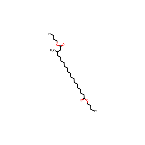 CC(C)CCCOC(=O)CCCCCCCCCCCCCCCCC(C)CC(=O)OCCCC(C)C